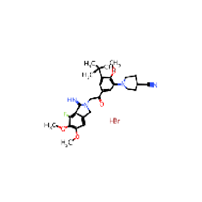 Br.COc1cc2c(c(F)c1OC)C(=N)N(CC(=O)c1cc(N3CCC(C#N)CC3)c(OC)c(C(C)(C)C)c1)C2